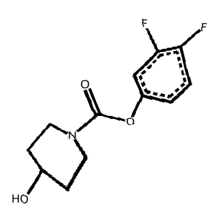 O=C(Oc1ccc(F)c(F)c1)N1CCC(O)CC1